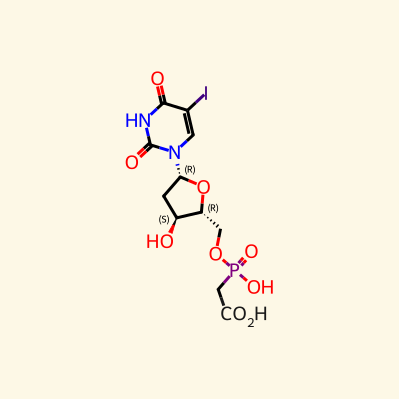 O=C(O)CP(=O)(O)OC[C@H]1O[C@@H](n2cc(I)c(=O)[nH]c2=O)C[C@@H]1O